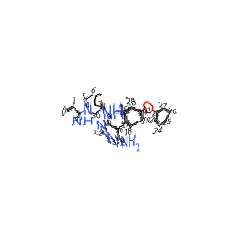 C=CC(=N)N1CCC[C@@H](Nc2ncnc(N)c2-c2ccc(Oc3ccccc3)cc2)C1